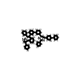 c1ccc(-c2ccc(-c3cc(-c4cccc(-c5cccc(-c6c(-c7ccccc7)n7ncc(-c8ccccc8)c7c7ccccc67)c5)c4)nc(-c4ccccc4)n3)cc2)cc1